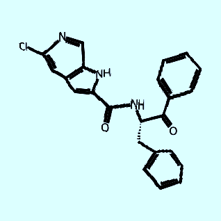 O=C(N[C@@H](Cc1ccccc1)C(=O)c1ccccc1)c1cc2cc(Cl)ncc2[nH]1